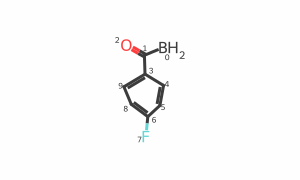 BC(=O)c1ccc(F)cc1